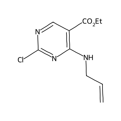 C=CCNc1nc(Cl)ncc1C(=O)OCC